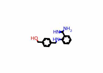 N=C(N)c1ccccc1NCc1ccc(CO)cc1